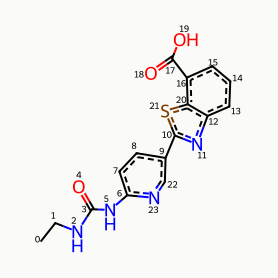 CCNC(=O)Nc1ccc(-c2nc3cccc(C(=O)O)c3s2)cn1